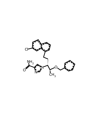 C[C@H](OCc1ccccc1)[C@@H](CCc1cccc2ccc(Cl)cc12)n1cnc(C(N)=O)c1